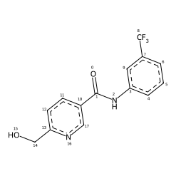 O=C(Nc1cccc(C(F)(F)F)c1)c1ccc(CO)nc1